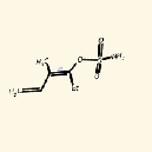 C=C/C(C)=C(\CC)OS(N)(=O)=O